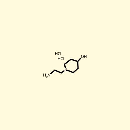 Cl.Cl.NCCN1CCC(O)CC1